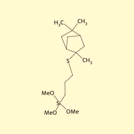 CO[Si](CCCSC1(C)CC2CC1CC2(C)C)(OC)OC